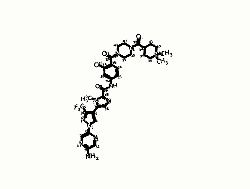 Cn1c(-c2cn(-c3cnc(N)cn3)nc2C(F)(F)F)cnc1C(=O)Nc1ccc(C(=O)N2CCN(C(=O)C3CC[N+](C)(C)CC3)CC2)c(Cl)c1